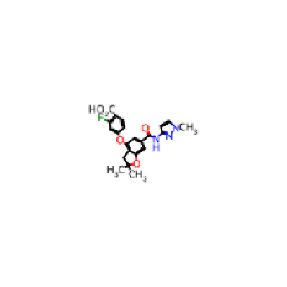 Cn1ccc(NC(=O)c2cc(Oc3ccc(C(=O)O)c(F)c3)c3c(c2)OC(C)(C)C3)n1